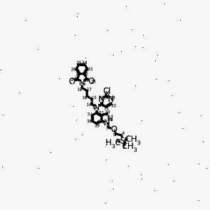 C[Si](C)(C)CCOCn1ncc2c(N(CCCCCN3C(=O)c4ccccc4C3=O)c3ccnc(Cl)n3)cccc21